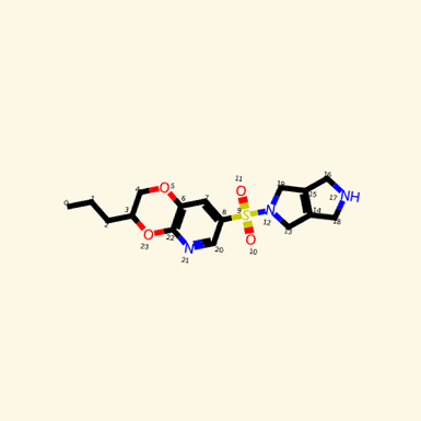 CCCC1COc2cc(S(=O)(=O)N3CC4=C(CNC4)C3)cnc2O1